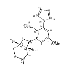 COc1cc(N2C[C@H]3CCNC[C@H]32)c(C=O)c(-n2nccn2)c1